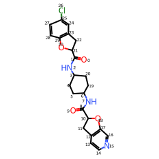 O=C(NC1CCC(NC(=O)C2Cc3ccncc3O2)CC1)C1Cc2cc(Cl)ccc2O1